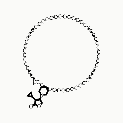 O=C1OCC(N2CCC3(CCCCCCCCCCCCCCCCCCCCCCCCCCCCCCCCCCCCCCCCCCCCCCCCNCC3)CC2)=C1C1CC1